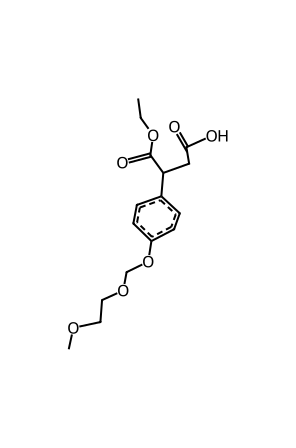 CCOC(=O)C(CC(=O)O)c1ccc(OCOCCOC)cc1